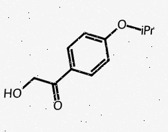 CC(C)Oc1ccc(C(=O)CO)cc1